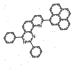 c1ccc(-c2nc(-c3ccccc3)c3ccc4ccc(-c5cc6cccc7ccc8cccc5c8c76)nc4c3n2)cc1